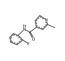 Cc1cc(C(=O)Nc2ccccc2F)ccn1